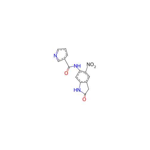 O=C1Cc2cc([N+](=O)[O-])c(NC(=O)c3cccnc3)cc2N1